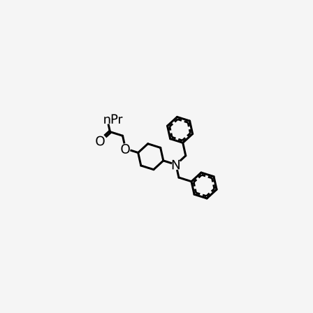 CCCC(=O)COC1CCC(N(Cc2ccccc2)Cc2ccccc2)CC1